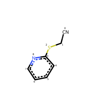 N#CCSc1ccccn1